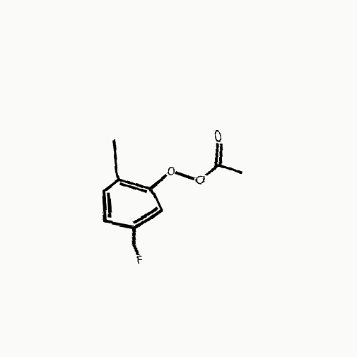 CC(=O)OOc1cc(F)ccc1C